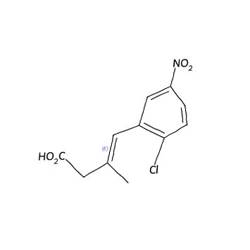 C/C(=C\c1cc([N+](=O)[O-])ccc1Cl)CC(=O)O